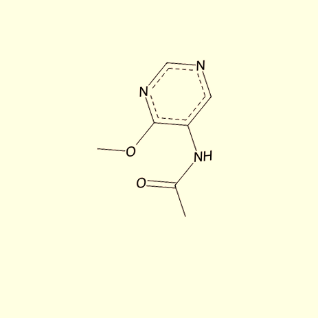 COc1ncncc1NC(C)=O